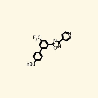 CCCCc1ccc(-c2cc(-c3nc(-c4ccncc4)no3)cc(C(F)(F)F)c2)cc1